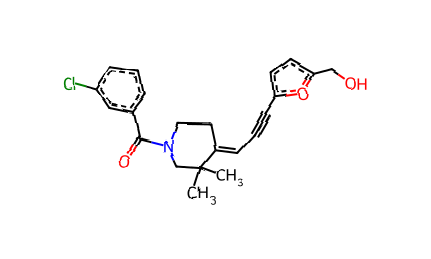 CC1(C)CN(C(=O)c2cccc(Cl)c2)CC/C1=C\C#Cc1ccc(CO)o1